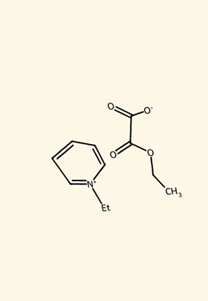 CCOC(=O)C(=O)[O-].CC[n+]1ccccc1